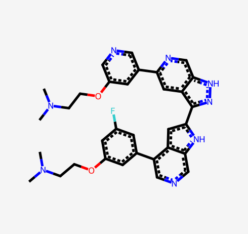 CN(C)CCOc1cncc(-c2cc3c(-c4cc5c(-c6cc(F)cc(OCCN(C)C)c6)cncc5[nH]4)n[nH]c3cn2)c1